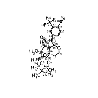 CC(C)(C)[Si](C)(C)O[C@@H]1[C@@H](N)[C@]2(C)O[C@]13CCO[C@@H]1[C@H]3[C@H]2C(=O)N1c1ccc(C#N)c(C(F)(F)F)c1